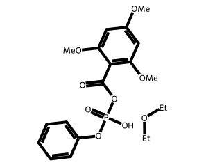 CCOCC.COc1cc(OC)c(C(=O)OP(=O)(O)Oc2ccccc2)c(OC)c1